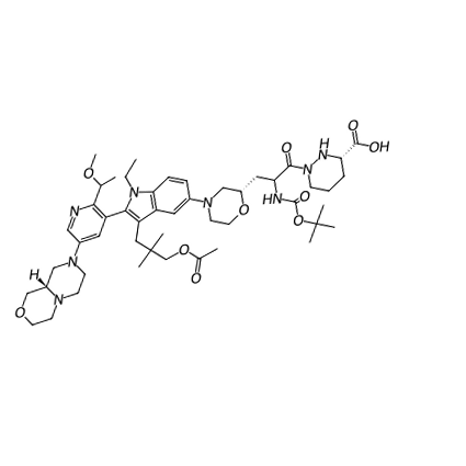 CCn1c(-c2cc(N3CCN4CCOC[C@@H]4C3)cnc2C(C)OC)c(CC(C)(C)COC(C)=O)c2cc(N3CCO[C@@H](CC(NC(=O)OC(C)(C)C)C(=O)N4CCC[C@@H](C(=O)O)N4)C3)ccc21